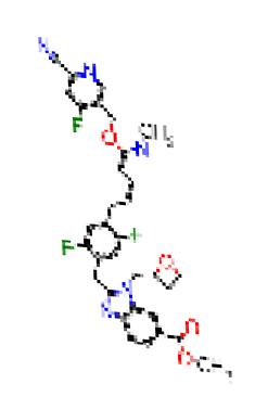 C=N/C(=C\C=C/Cc1cc(F)c(Cc2nc3ccc(C(=O)OC)cc3n2C[C@@H]2CCO2)cc1F)OCc1cnc(C#N)cc1F